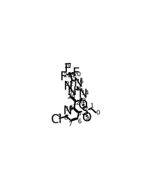 CCS(=O)(=O)c1ccc(Cl)nc1-c1cnc2nc(C(F)(F)F)nn2c1